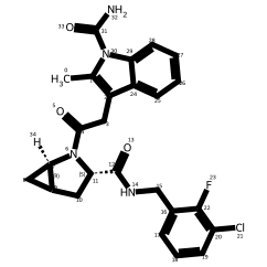 Cc1c(CC(=O)N2[C@@H]3CC3C[C@H]2C(=O)NCc2cccc(Cl)c2F)c2ccccc2n1C(N)=O